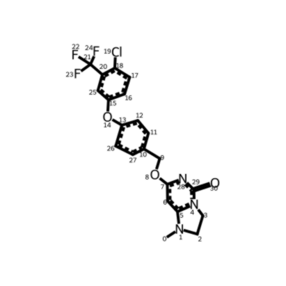 CN1CCn2c1cc(OCc1ccc(Oc3ccc(Cl)c(C(F)(F)F)c3)cc1)nc2=O